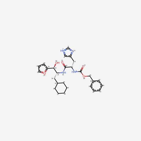 O=C(N[C@@H](Cc1c[nH]cn1)C(=O)N[C@H](CC1CCCCC1)[C@H](O)c1ccco1)OCc1ccccc1